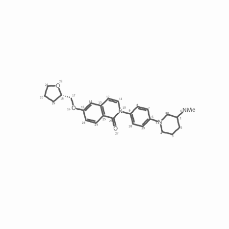 CNC1CCCN(c2ccc(-n3ccc4cc(OC[C@@H]5CCCO5)ccc4c3=O)cc2)C1